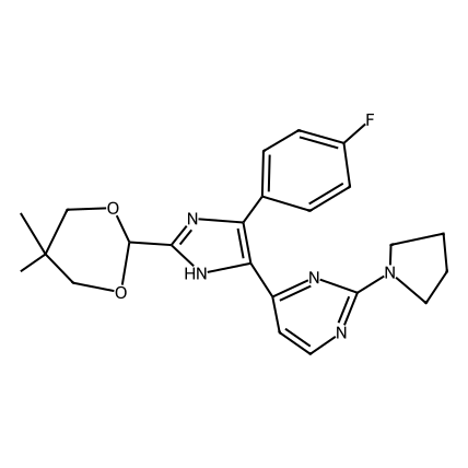 CC1(C)COC(c2nc(-c3ccc(F)cc3)c(-c3ccnc(N4CCCC4)n3)[nH]2)OC1